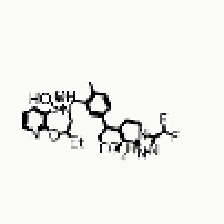 CCC1CN(Cc2cc(C(CC(=O)O)c3ccn4c(C(F)F)nnc4c3C)ccc2C)S(O)(O)c2cccnc2O1